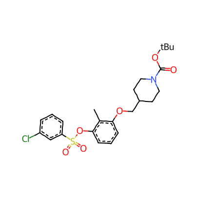 Cc1c(OCC2CCN(C(=O)OC(C)(C)C)CC2)cccc1OS(=O)(=O)c1cccc(Cl)c1